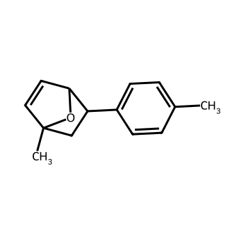 Cc1ccc(C2CC3(C)C=CC2O3)cc1